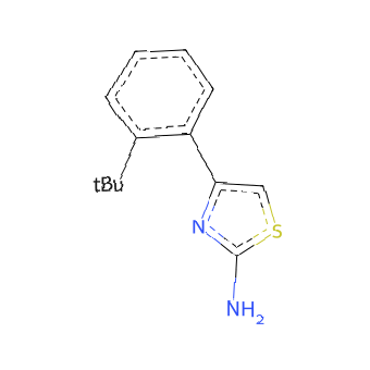 CC(C)(C)c1ccccc1-c1csc(N)n1